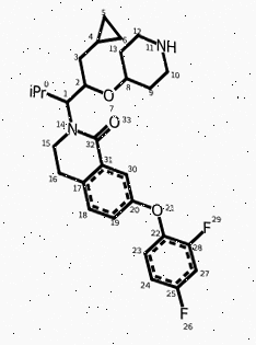 CC(C)C(C(CC1CC1)OC1CCNCC1)N1CCc2ccc(Oc3ccc(F)cc3F)cc2C1=O